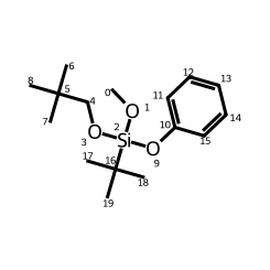 CO[Si](OCC(C)(C)C)(Oc1ccccc1)C(C)(C)C